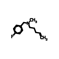 C=CCCCN(C)Cc1ccc(F)cc1